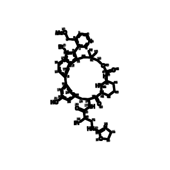 CCn1c(-c2cnccc2COC)c2c3cc(ccc31)-c1cc(O)cc(c1)C[C@H](NC(=O)C(CNC1=NCCO1)C(C)C)C(=O)N1CCC[C@H](N1)C(=O)OCC(C)(C)C2